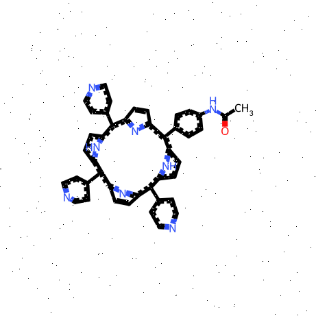 CC(=O)Nc1ccc(-c2c3nc(c(-c4ccncc4)c4ccc([nH]4)c(-c4ccncc4)c4nc(c(-c5ccncc5)c5ccc2[nH]5)C=C4)C=C3)cc1